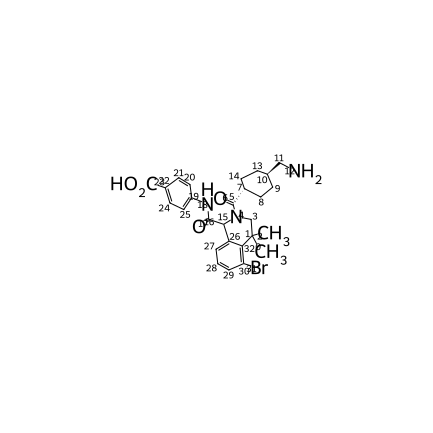 CC1(C)CN(C(=O)[C@H]2CC[C@H](CN)CC2)C(C(=O)Nc2ccc(C(=O)O)cc2)c2cccc(Br)c21